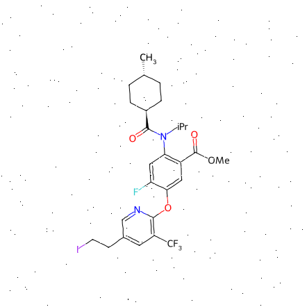 COC(=O)c1cc(Oc2ncc(CCI)cc2C(F)(F)F)c(F)cc1N(C(=O)[C@H]1CC[C@H](C)CC1)C(C)C